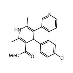 COC(=O)C1=C(C)NC(C)=C(c2cccnc2)C1c1ccc(Cl)cc1